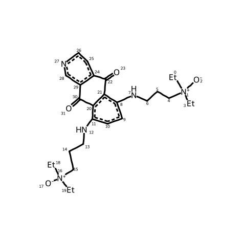 CC[N+]([O-])(CC)CCCNc1ccc(NCCC[N+]([O-])(CC)CC)c2c1C(=O)c1ccncc1C2=O